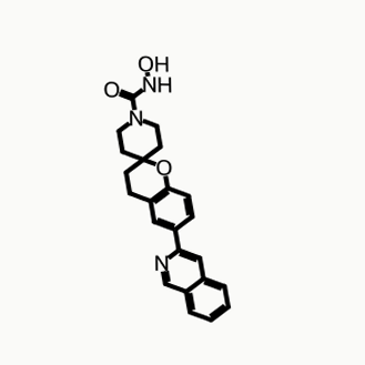 O=C(NO)N1CCC2(CCc3cc(-c4cc5ccccc5cn4)ccc3O2)CC1